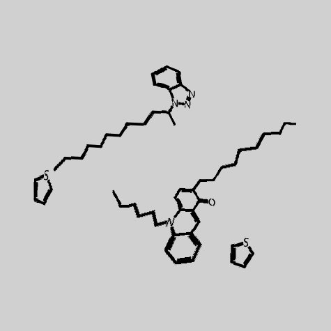 CCCCCCCCCCC(C)n1nnc2ccccc21.CCCCCCCCCCc1ccc2n(CCCCCC)c3ccccc3cc-2c1=O.c1ccsc1.c1ccsc1